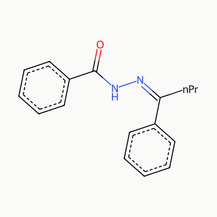 CCCC(=NNC(=O)c1ccccc1)c1ccccc1